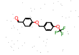 O=CC1C=CC(OCc2ccc(OC(F)(F)F)cc2)=CC1